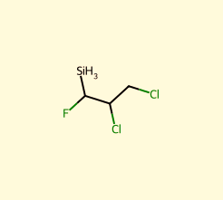 FC([SiH3])C(Cl)CCl